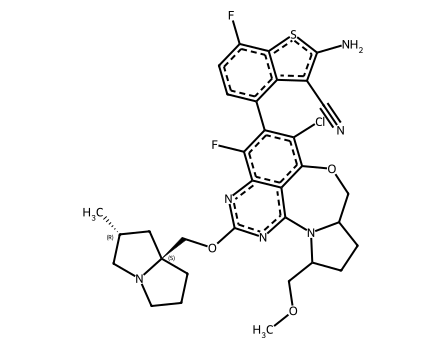 COCC1CCC2COc3c(Cl)c(-c4ccc(F)c5sc(N)c(C#N)c45)c(F)c4nc(OC[C@@]56CCCN5C[C@H](C)C6)nc(c34)N12